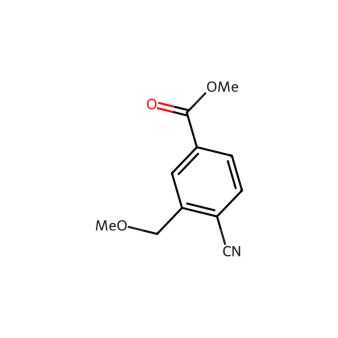 COCc1cc(C(=O)OC)ccc1C#N